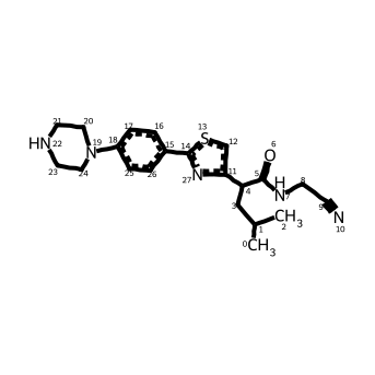 CC(C)CC(C(=O)NCC#N)c1csc(-c2ccc(N3CCNCC3)cc2)n1